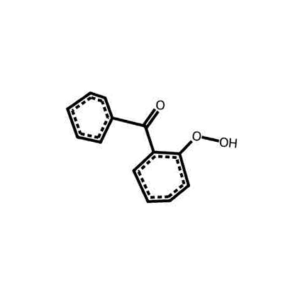 O=C(c1ccccc1)c1ccccc1OO